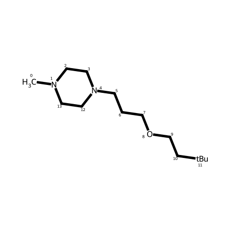 CN1CCN(CCCOCCC(C)(C)C)CC1